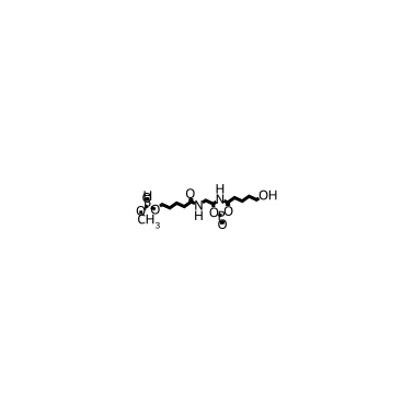 CO[PH](=O)OCCCCC(=O)NCC(NC(=O)CCCCO)OP=O